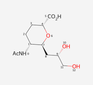 CC(=O)N[C@@H]1CC[C@H](C(=O)O)O[C@H]1C[C@H](O)CO